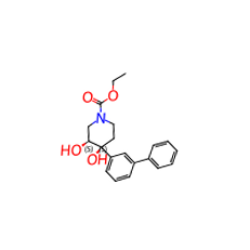 CCOC(=O)N1CC[C@](O)(c2cccc(-c3ccccc3)c2)[C@@H](O)C1